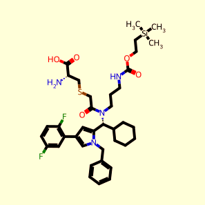 C[Si](C)(C)CCOC(=O)NCCCN(C(=O)CSC[C@H](N)C(=O)O)[C@@H](c1cc(-c2cc(F)ccc2F)cn1Cc1ccccc1)C1CCCCC1